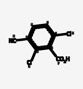 N#Cc1ccc(Cl)c(C(=O)O)c1Cl